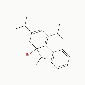 CC(C)C1=CC(C(C)C)=C(c2ccccc2)C(Br)(C(C)C)C1